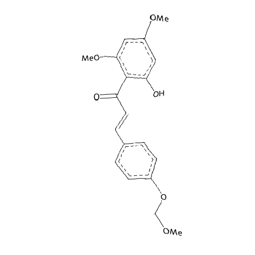 COCOc1ccc(C=CC(=O)c2c(O)cc(OC)cc2OC)cc1